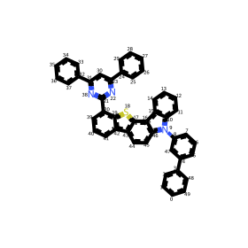 c1ccc(-c2cccc(-n3c4ccccc4c4c5sc6c(-c7nc(-c8ccccc8)cc(-c8ccccc8)n7)cccc6c5ccc43)c2)cc1